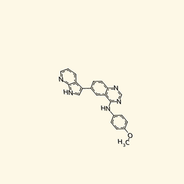 COc1ccc(Nc2ncnc3ccc(-c4c[nH]c5ncccc45)cc23)cc1